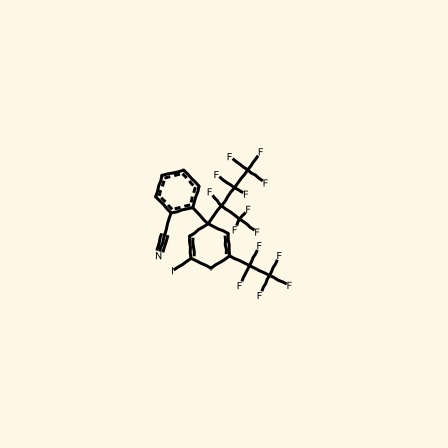 N#Cc1ccccc1C1(C(F)(C(F)(F)F)C(F)(F)C(F)(F)F)C=C(I)[CH]C(C(F)(F)C(F)(F)F)=C1